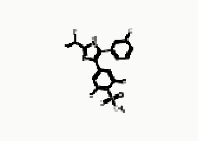 CS(=O)(=O)c1c(F)cc(-c2nc(C(F)F)[nH]c2-c2cccc(Cl)c2)cc1F